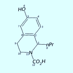 CCCC1c2ccc(O)cc2CCN1C(=O)O